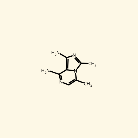 Cc1cnc(N)c2c(N)nc(C)n12